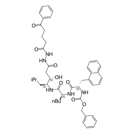 CCCC[C@H](NC(=O)[C@H](Cc1cccc2ccccc12)NC(=O)OCc1ccccc1)C(=O)N[C@@H](CC(C)C)[C@@H](O)CC(=O)NNC(=O)CCCC(=O)c1ccccc1